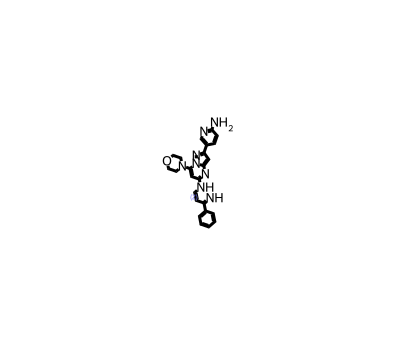 N=C(/C=C\Nc1cc(N2CCOCC2)n2nc(-c3ccc(N)nc3)cc2n1)c1ccccc1